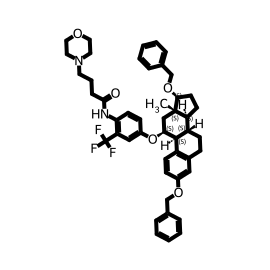 C[C@]12C[C@H](Oc3ccc(NC(=O)CCCN4CCOCC4)c(C(F)(F)F)c3)[C@@H]3c4ccc(OCc5ccccc5)cc4CC[C@H]3[C@@H]1CC[C@@H]2OCc1ccccc1